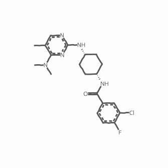 Cc1cnc(N[C@H]2CC[C@@H](NC(=O)c3ccc(F)c(Cl)c3)CC2)nc1N(C)C